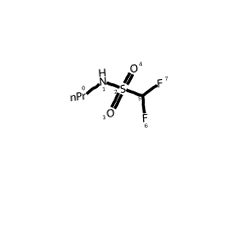 CCCNS(=O)(=O)C(F)F